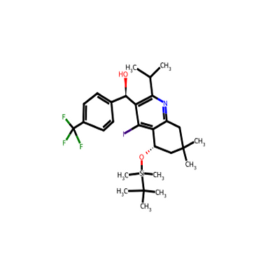 CC(C)c1nc2c(c(I)c1[C@H](O)c1ccc(C(F)(F)F)cc1)[C@@H](O[Si](C)(C)C(C)(C)C)CC(C)(C)C2